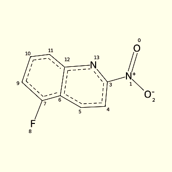 O=[N+]([O-])c1ccc2c(F)cccc2n1